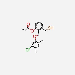 CCC(=O)Oc1cccc(CS)c1COc1cc(Cl)c(C)cc1C